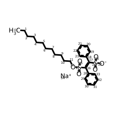 CCCCCCCCCCCCOS(=O)(=O)C(=C(c1ccccc1)S(=O)(=O)[O-])c1ccccc1.[Na+]